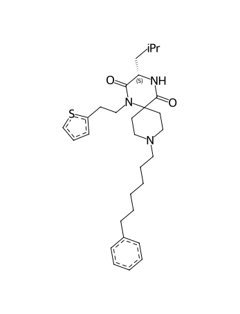 CC(C)C[C@@H]1NC(=O)C2(CCN(CCCCCCc3ccccc3)CC2)N(CCc2cccs2)C1=O